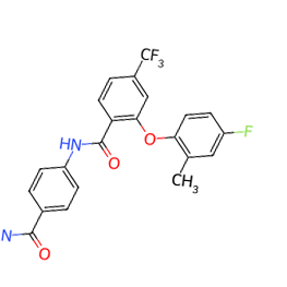 Cc1cc(F)ccc1Oc1cc(C(F)(F)F)ccc1C(=O)Nc1ccc(C(N)=O)cc1